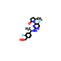 C[C@H](Nc1ncc(F)c(N2C(=O)CC[C@H]2C)n1)c1ccc(CO)c(F)c1